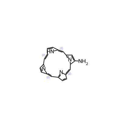 NC1=CC2=NC1/C=C1/C=CC(=N1)/C=C1/C=CC(=N1)/C=c1/cc/c([nH]1)=C/2